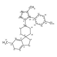 Cc1nnc(N2CCC3(CCC4=CCC(C)C=C43)CC2)n1-c1ccc(Cl)cc1